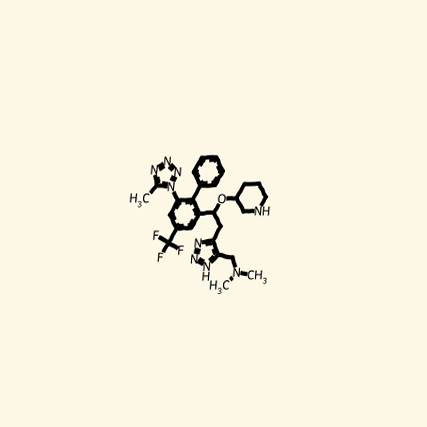 Cc1nnnn1-c1cc(C(F)(F)F)cc(C(Cc2nn[nH]c2CN(C)C)OC2CCCNC2)c1-c1ccccc1